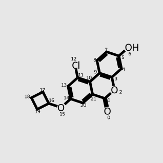 O=c1oc2cc(O)ccc2c2c(Cl)cc(OC3CCC3)cc12